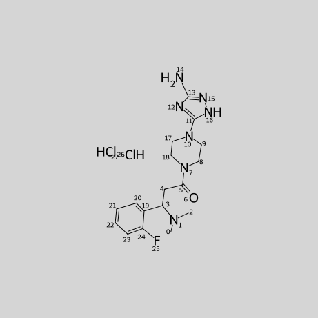 CN(C)C(CC(=O)N1CCN(c2nc(N)n[nH]2)CC1)c1ccccc1F.Cl.Cl